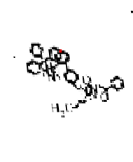 CCCCc1nn(CC(=O)c2ccccc2)c(=O)n1Cc1ccc(-c2ccccc2-c2nnnn2C(c2ccccc2)(c2ccccc2)c2ccccc2)cc1